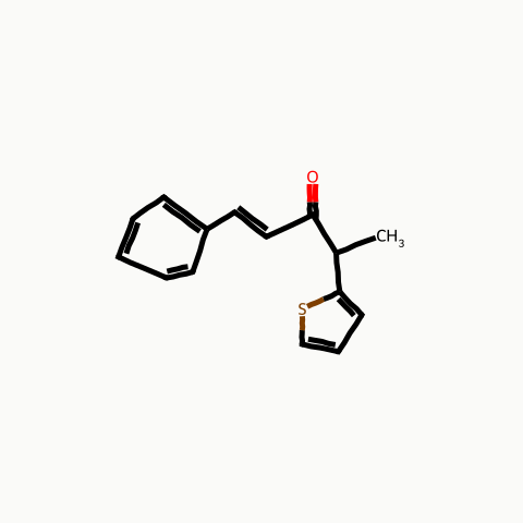 CC(C(=O)C=Cc1ccccc1)c1cccs1